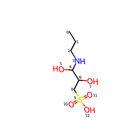 CCCNC(O)C(O)CS(=O)(=O)O